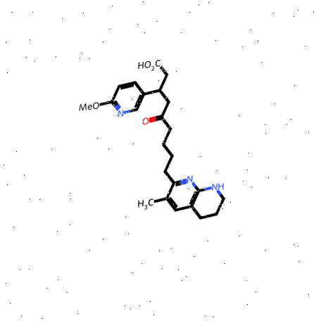 COc1ccc(C(CC(=O)O)CC(=O)CCCCc2nc3c(cc2C)CCCN3)cn1